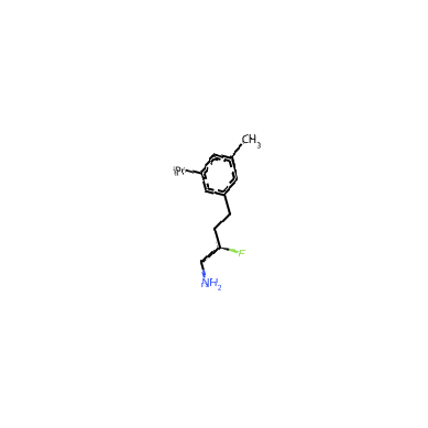 Cc1cc(CC[C@@H](F)CN)cc(C(C)C)c1